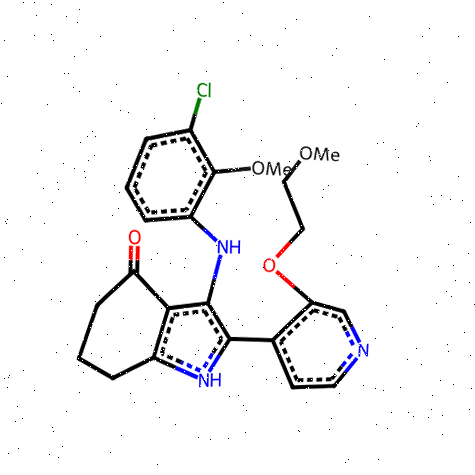 COCCOc1cnccc1-c1[nH]c2c(c1Nc1cccc(Cl)c1OC)C(=O)CCC2